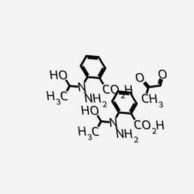 CC(=O)C=O.CC(O)N(N)c1ccccc1C(=O)O.CC(O)N(N)c1ccccc1C(=O)O